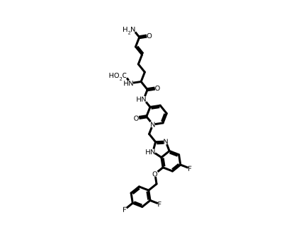 NC(=O)C=CCCC(NC(=O)O)C(=O)Nc1cccn(Cc2nc3cc(F)cc(OCc4ccc(F)cc4F)c3[nH]2)c1=O